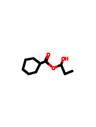 CCC(O)OC(=O)C1CCCCC1